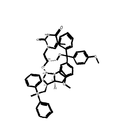 COc1ccc(C(OC[C@@H](Cn2cc(C)c(=O)[nH]c2=O)O[P@@]2O[C@H](C[Si](C)(c3ccccc3)c3ccccc3)[C@@H]3CCCN32)(c2ccccc2)c2ccc(OC)cc2)cc1